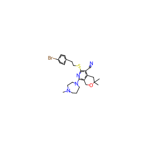 CN1CCCN(c2nc(SCCc3ccc(Br)cc3)c(C#N)c3c2COC(C)(C)C3)CC1